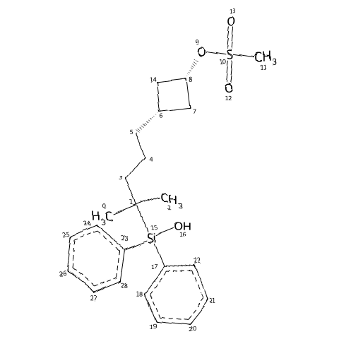 CC(C)(CCC[C@H]1C[C@@H](OS(C)(=O)=O)C1)[Si](O)(c1ccccc1)c1ccccc1